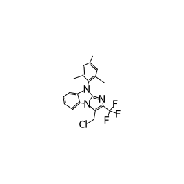 Cc1cc(C)c(-n2c3ccccc3n3c(CCl)c(C(F)(F)F)nc23)c(C)c1